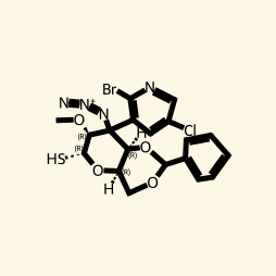 CO[C@H]1[C@@H](S)O[C@@H]2COC(c3ccccc3)O[C@@H]2C1(N=[N+]=[N-])c1cc(Cl)cnc1Br